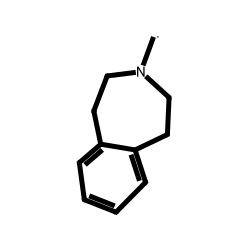 [CH2]N1CCc2ccccc2CC1